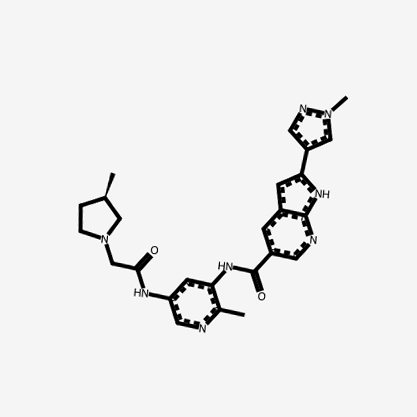 Cc1ncc(NC(=O)CN2CC[C@@H](C)C2)cc1NC(=O)c1cnc2[nH]c(-c3cnn(C)c3)cc2c1